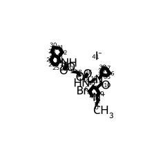 CCC[n+]1cc(Br)cc(C(=O)N(CCNC(=O)OCCOC(=O)Nc2cccc3ccccc23)c2ccccc2)c1.[I-]